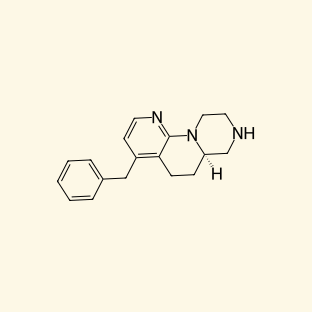 c1ccc(Cc2ccnc3c2CC[C@@H]2CNCCN32)cc1